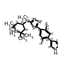 CN(c1nnc(-c2cc(F)c(-c3cn[nH]c3)cc2F)s1)C1CC(C)(C)NC(C)(C)C1